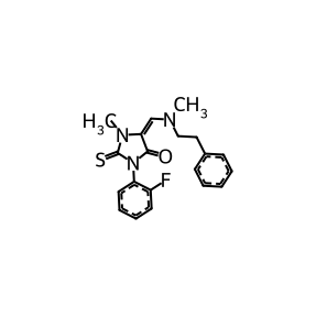 CN(C=C1C(=O)N(c2ccccc2F)C(=S)N1C)CCc1ccccc1